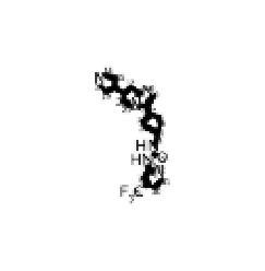 O=C(NCc1ccc(-c2cnc3cc(-c4ccncc4)ccn23)cc1)Nc1cc(C(F)(F)F)ccn1